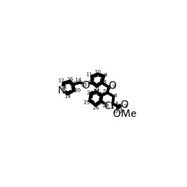 COC(=O)CCC(C(=O)c1cccc(OCc2ccncc2)c1)c1ccccc1C